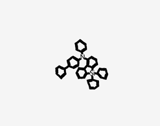 c1ccc(-c2ccc(N(c3ccccc3)c3cccc4c3-c3ccccc3[Si]4(c3ccccc3)c3ccccc3)cc2)cc1